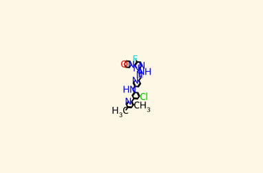 Cc1cnc(-c2cc(Cl)cc(Nc3ccc(/C=N/Nc4ncc(F)c(N5CCOCC5)n4)nc3)c2)c(C)c1